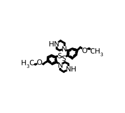 CCOCc1ccc(SSc2ccc(COCC)cc2N2CCNCC2)c(N2CCNCC2)c1